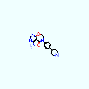 Nc1ncnc2c1C(=O)N(c1ccc(C3CCNCC3)cc1)CCO2